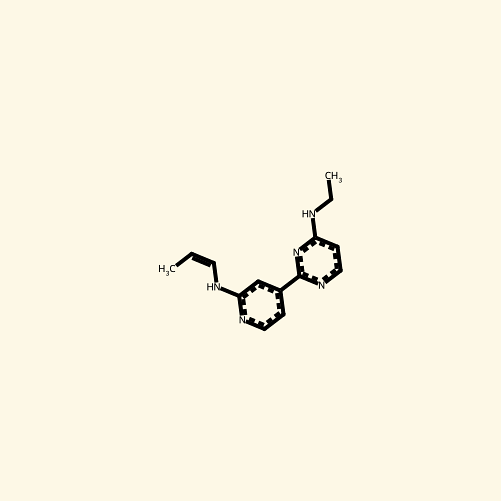 C/C=C\Nc1cc(-c2nccc(NCC)n2)ccn1